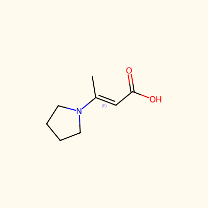 C/C(=C\C(=O)O)N1CCCC1